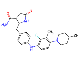 Cc1c(N2CCC(C)CC2)ccc(Nc2ccc(CC3NC(=O)CC3C(N)=O)cc2)c1F